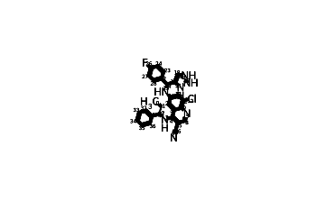 CC[C@@H](Nc1c(C#N)cnc2c(Cl)cc(N[C@H](C3=CNNN3)c3ccc(F)cc3)cc12)c1ccccc1